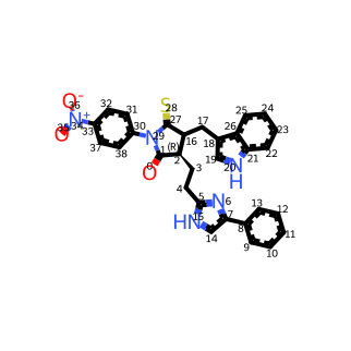 O=C1[C@H](CCc2nc(-c3ccccc3)c[nH]2)C(Cc2c[nH]c3ccccc23)C(=S)N1c1ccc([N+](=O)[O-])cc1